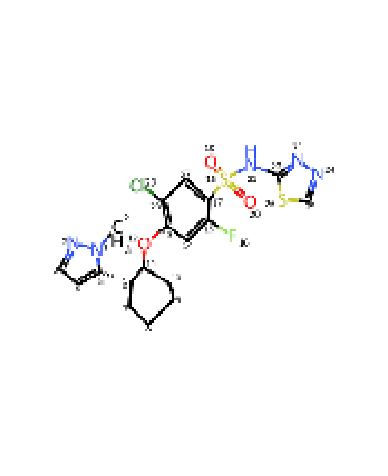 Cn1nccc1[C@H]1CCCC[C@@H]1Oc1cc(F)c(S(=O)(=O)Nc2nncs2)cc1Cl